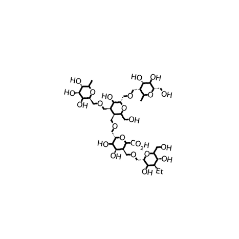 CC[C@H]1C(O)[C@H](COC[C@@H]2C(C(=O)O)O[C@@H](COC[C@@H]3C(CO)O[C@@H](COC[C@H]4C(C)O[C@@H](CO)C(O)[C@H]4O)C(O)[C@@H]3COC[C@@H]3OC(C)[C@@H](O)[C@H](O)C3O)C(O)[C@@H]2O)OC(CO)[C@H]1O